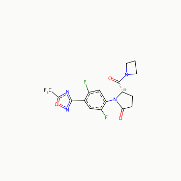 O=C([C@@H]1CCC(=O)N1c1cc(F)c(-c2noc(C(F)(F)F)n2)cc1F)N1CCC1